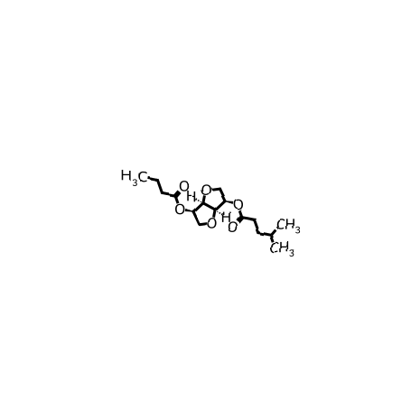 CCCC(=O)O[C@@H]1CO[C@H]2[C@@H]1OC[C@H]2OC(=O)CCC(C)C